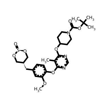 COc1cc(C[C@H]2CO[S@](=O)OC2)ccc1Oc1ncnc(OC2CCN(C(=O)OC(C)(C)C)CC2)c1C